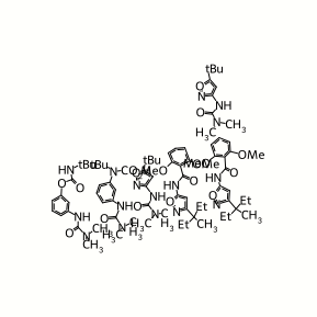 CCC(C)(CC)c1cc(NC(=O)c2c(OC)cccc2OC)on1.CCC(C)(CC)c1cc(NC(=O)c2c(OC)cccc2OC)on1.CN(C)C(=O)Nc1cc(C(C)(C)C)on1.CN(C)C(=O)Nc1cc(C(C)(C)C)on1.CN(C)C(=O)Nc1cccc(N(C(=O)O)C(C)(C)C)c1.CN(C)C(=O)Nc1cccc(OC(=O)NC(C)(C)C)c1